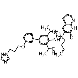 C=CCCN(C(=O)Nc1c(C(C)C)cc(-c2cccc(OCCCn3cncn3)c2)cc1C(C)C)c1cc2cccnc2[nH]c1=O